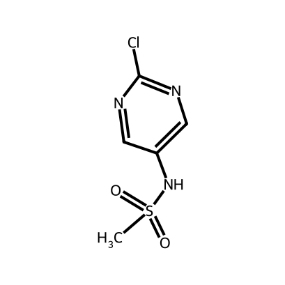 CS(=O)(=O)Nc1cnc(Cl)nc1